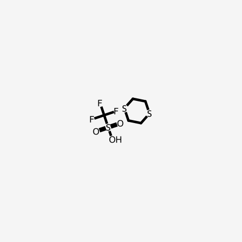 C1CSCCS1.O=S(=O)(O)C(F)(F)F